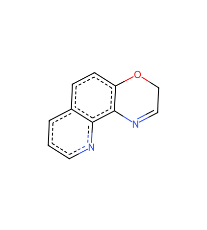 C1=Nc2c(ccc3cccnc23)OC1